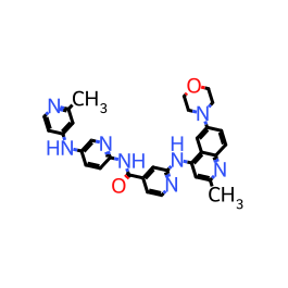 Cc1cc(Nc2ccc(NC(=O)c3ccnc(Nc4cc(C)nc5ccc(N6CCOCC6)cc45)c3)nc2)ccn1